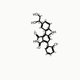 O=C1NC(=O)c2c1c(-c1ccccc1Cl)cc1[nH]c3ccc(C(O)CO)cc3c21